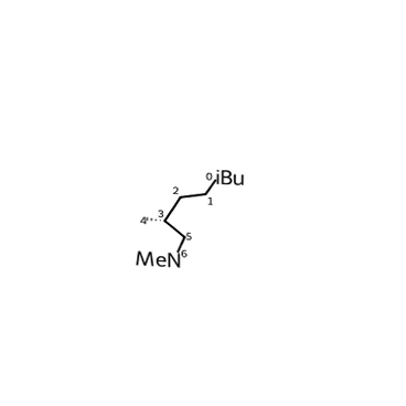 CCC(C)CC[C@@H](C)CNC